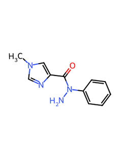 Cn1cnc(C(=O)N(N)c2ccccc2)c1